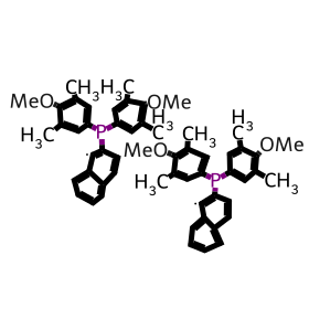 COc1c(C)cc(P(c2[c]c3ccccc3cc2)c2cc(C)c(OC)c(C)c2)cc1C.COc1c(C)cc(P(c2[c]c3ccccc3cc2)c2cc(C)c(OC)c(C)c2)cc1C